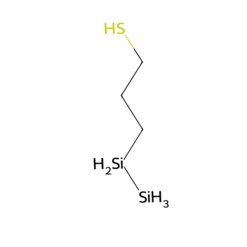 [SiH3][SiH2]CCCS